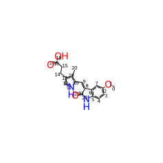 COc1ccc2c(c1)/C(=C/c1[nH]cc(CCC(=O)O)c1C)C(=O)N2